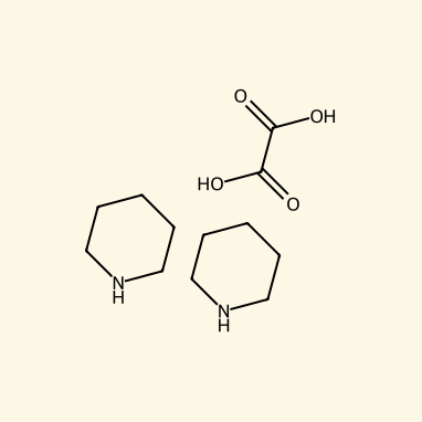 C1CCNCC1.C1CCNCC1.O=C(O)C(=O)O